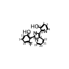 Oc1cccnc1-c1nc(-c2c(O)cccc2F)n2ccccc12